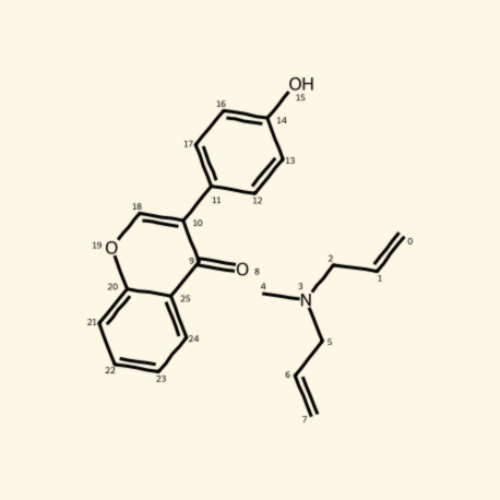 C=CCN(C)CC=C.O=c1c(-c2ccc(O)cc2)coc2ccccc12